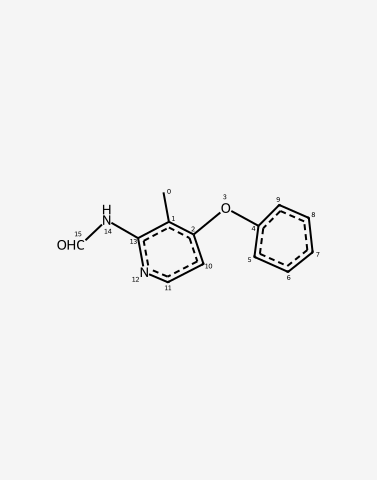 Cc1c(Oc2ccccc2)ccnc1NC=O